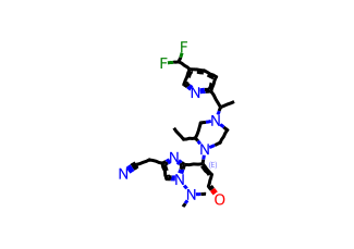 CCC1CN(C(C)c2ccc(C(F)F)cn2)CCN1/C(=C/C=O)c1nc(CC#N)cn1N(C)C